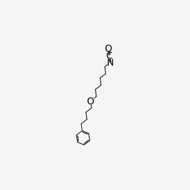 O=C=NCCCCCCOCCCCc1ccccc1